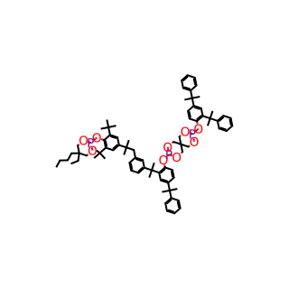 CCCCC1(CC)COP(Oc2c(C(C)(C)C)cc(C(C)(C)Cc3cccc(C(C)(C)c4cc(C(C)(C)c5ccccc5)ccc4OP4OCC5(COP(Oc6ccc(C(C)(C)c7ccccc7)cc6C(C)(C)c6ccccc6)OC5)CO4)c3)cc2C(C)(C)C)OC1